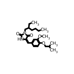 CCCCC(CC)CN1C(=O)NC(=Cc2ccc(OCC(C)C)c(OC)c2)C1=O